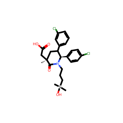 C[C@]1(CC(=O)O)CC(c2cccc(Cl)c2)[C@@H](c2ccc(Cl)cc2)N(CCC[Si](C)(C)O)C1=O